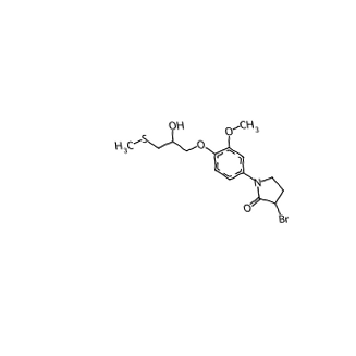 COc1cc(N2CCC(Br)C2=O)ccc1OCC(O)CSC